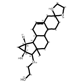 CC12CCC3C4CCC5(CC4=CCC3C1[C@H]1C[C@H]1C2OCCO)OCCO5